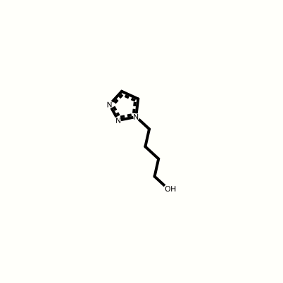 OCCCCn1ccnn1